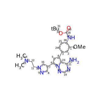 COc1cc(-c2cc(-c3cnn(CCN(C)C)c3)n3ncnc(N)c23)ccc1NC(=O)OC(C)(C)C